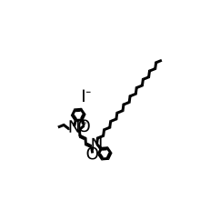 CCCCCCCCCCCCCCCCCCCCN1C(=CC=Cc2oc3ccccc3[n+]2CCC)Oc2ccccc21.[I-]